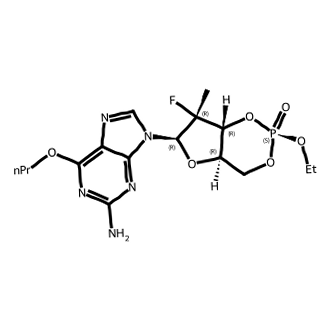 CCCOc1nc(N)nc2c1ncn2[C@@H]1O[C@@H]2CO[P@](=O)(OCC)O[C@H]2[C@@]1(C)F